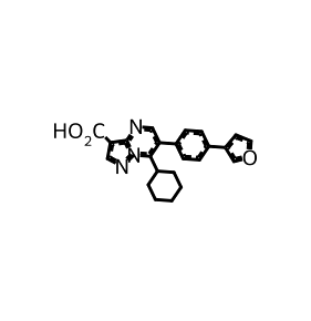 O=C(O)c1cnn2c(C3CCCCC3)c(-c3ccc(-c4ccoc4)cc3)cnc12